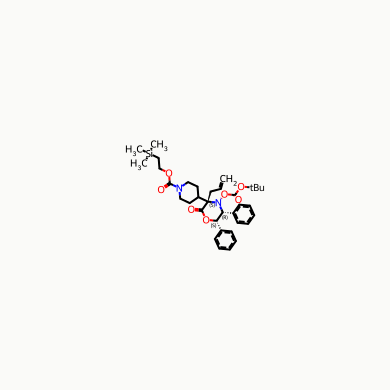 C=CC[C@]1(C2CCN(C(=O)OCC[Si](C)(C)C)CC2)C(=O)O[C@@H](c2ccccc2)[C@@H](c2ccccc2)N1OC(=O)OC(C)(C)C